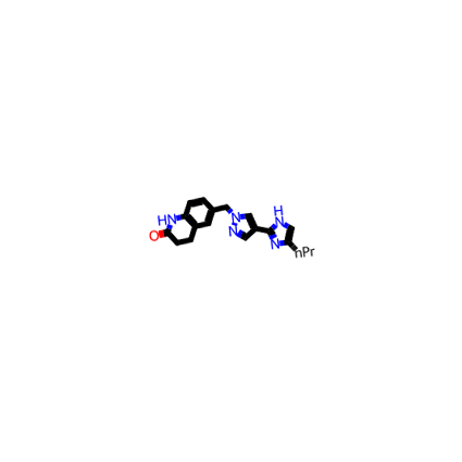 CCCc1c[nH]c(-c2cnn(Cc3ccc4c(c3)CCC(=O)N4)c2)n1